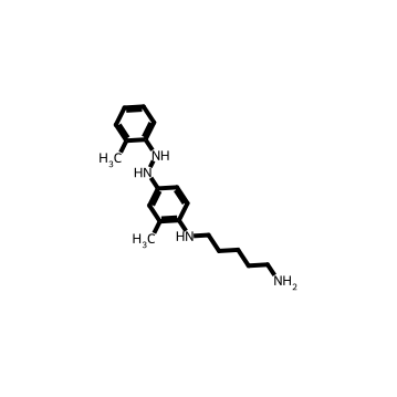 Cc1cc(NNc2ccccc2C)ccc1NCCCCCN